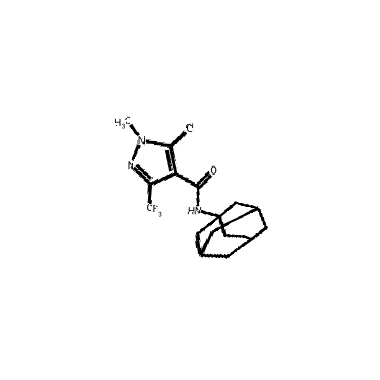 Cn1nc(C(F)(F)F)c(C(=O)NC23CC4CC(CC(C4)C2)C3)c1Cl